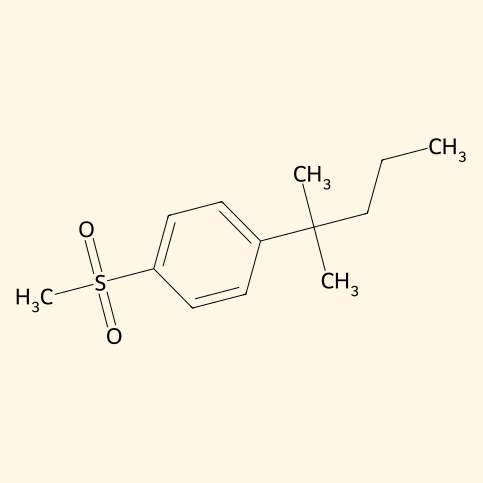 CCCC(C)(C)c1ccc(S(C)(=O)=O)cc1